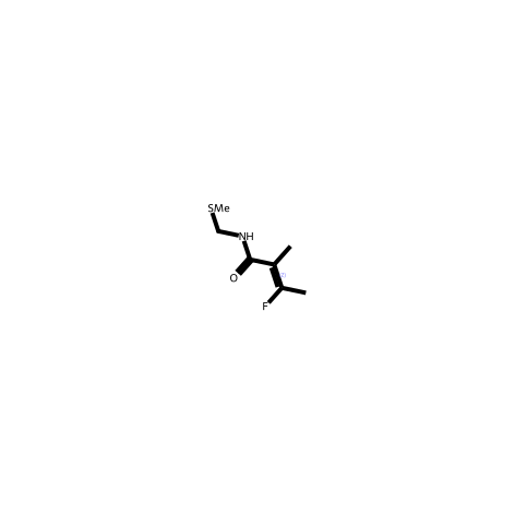 CSCNC(=O)/C(C)=C(/C)F